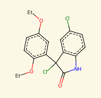 CCOc1ccc(OCC)c(C2(Cl)C(=O)Nc3ccc(Cl)cc32)c1